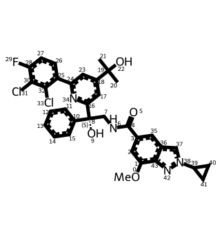 COc1cc(C(=O)NC[C@@](O)(c2ccccc2)c2cc(C(C)(C)O)cc(-c3ccc(F)c(Cl)c3Cl)n2)cc2cn(C3CC3)nc12